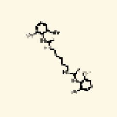 CCCc1cccc(CCC)c1NC(=S)NCCCCCNC(=S)Nc1c(CCC)cccc1CCC